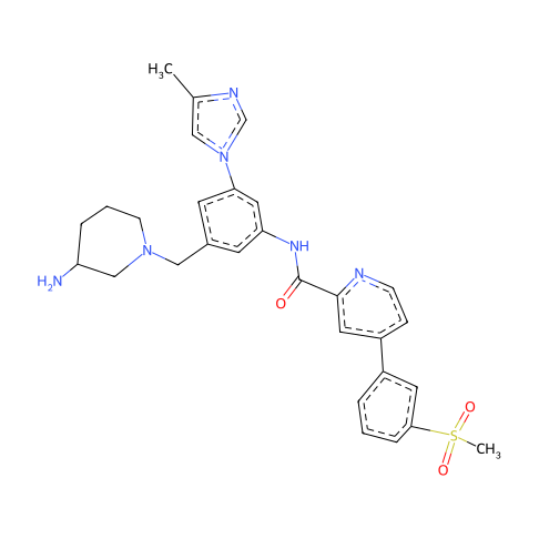 Cc1cn(-c2cc(CN3CCCC(N)C3)cc(NC(=O)c3cc(-c4cccc(S(C)(=O)=O)c4)ccn3)c2)cn1